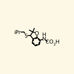 CC(C)CSC1c2cccc(NC(=O)O)c2OC1(C)C